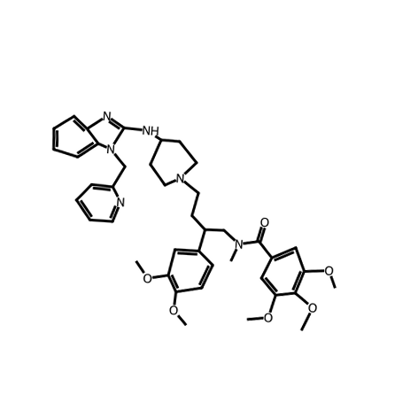 COc1ccc(C(CCN2CCC(Nc3nc4ccccc4n3Cc3ccccn3)CC2)CN(C)C(=O)c2cc(OC)c(OC)c(OC)c2)cc1OC